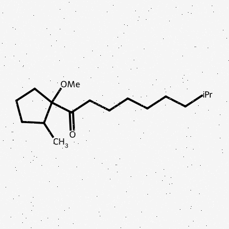 COC1(C(=O)CCCCCCC(C)C)CCCC1C